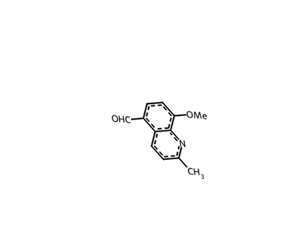 COc1ccc(C=O)c2ccc(C)nc12